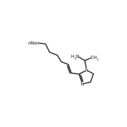 CCCCCCCCCCCCCC=CC1=NCCN1C(C)N